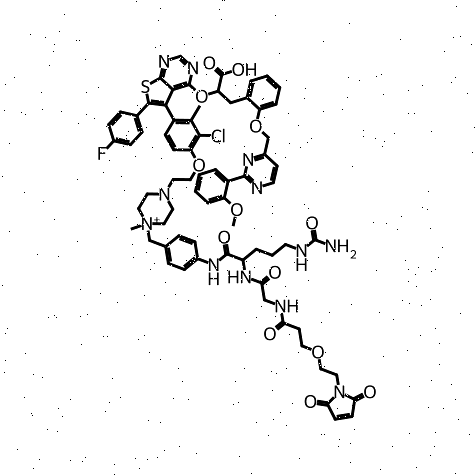 COc1ccccc1-c1nccc(COc2ccccc2CC(Oc2ncnc3sc(-c4ccc(F)cc4)c(-c4ccc(OCCN5CC[N+](C)(Cc6ccc(NC(=O)C(CCCNC(N)=O)NC(=O)CNC(=O)CCOCCN7C(=O)C=CC7=O)cc6)CC5)c(Cl)c4C)c23)C(=O)O)n1